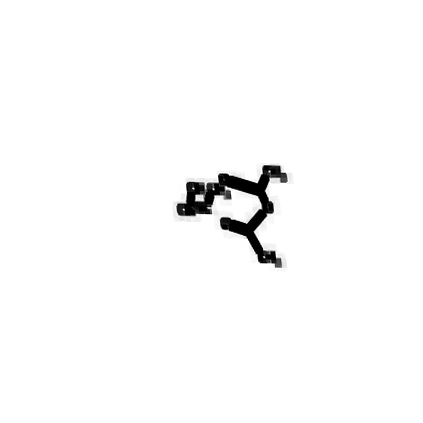 CC#N.CC#N.CC(=O)OC(C)=O